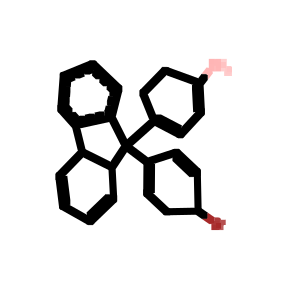 BC1=CC=C(C2(C3=CCC(Br)C=C3)c3ccccc3C3C=CC=CC32)CC1